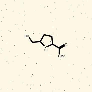 COC(=O)C1CCC(CO)N1